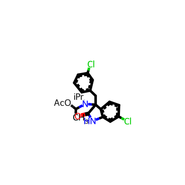 CC(=O)OC(C)N(C(C)C)C1(Cc2cccc(Cl)c2)C(=O)Nc2cc(Cl)ccc21